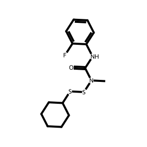 CN(SSC1CCCCC1)C(=O)Nc1ccccc1F